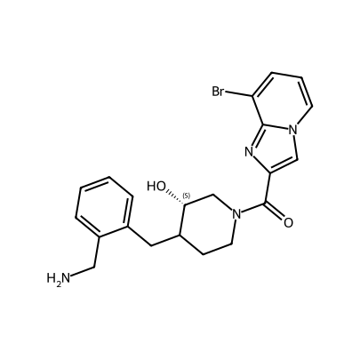 NCc1ccccc1CC1CCN(C(=O)c2cn3cccc(Br)c3n2)C[C@H]1O